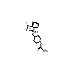 CC(C)(C)C(=O)ON1CCC(CS(=O)(=O)c2ccccc2C(F)F)CC1